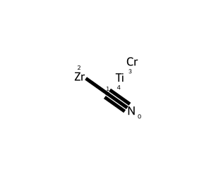 N#[C][Zr].[Cr].[Ti]